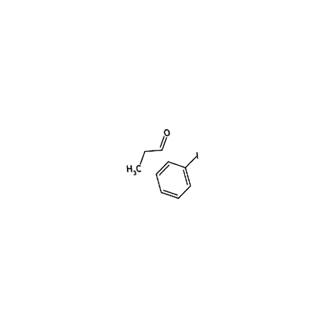 CCC=O.Ic1ccccc1